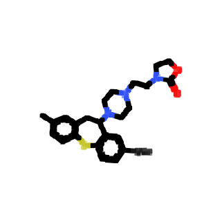 CSc1ccc2c(c1)C(N1CCN(CCN3CCOC3=O)CC1)Cc1cc(C)ccc1S2